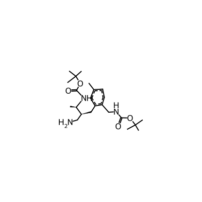 Cc1ccc(CNC(=O)OC(C)(C)C)c(C[C@@H](CN)[C@@H](C)NC(=O)OC(C)(C)C)c1